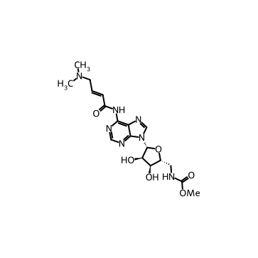 COC(=O)NC[C@H]1O[C@@H](n2cnc3c(NC(=O)/C=C/CN(C)C)ncnc32)[C@H](O)[C@@H]1O